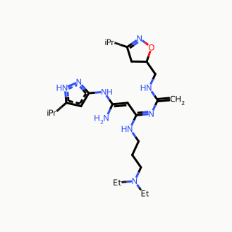 C=C(/N=C(\C=C(/N)Nc1cc(C(C)C)[nH]n1)NCCCN(CC)CC)NCC1CC(C(C)C)=NO1